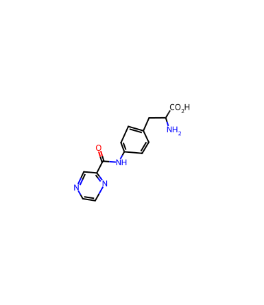 NC(Cc1ccc(NC(=O)c2cnccn2)cc1)C(=O)O